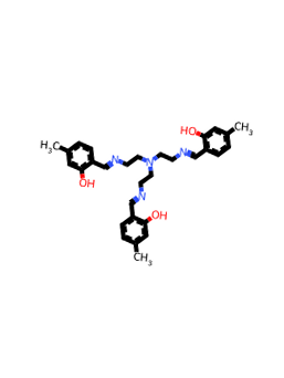 Cc1ccc(C=NCCN(CCN=Cc2ccc(C)cc2O)CCN=Cc2ccc(C)cc2O)c(O)c1